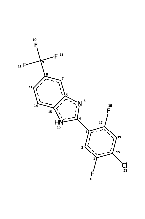 Fc1cc(-c2nc3cc(C(F)(F)F)ccc3[nH]2)c(F)cc1Cl